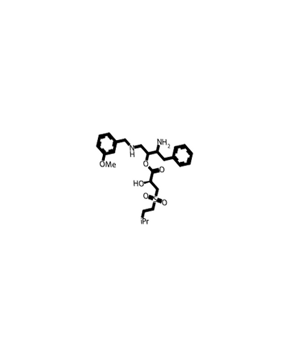 COc1cccc(CNCC(OC(=O)[C@H](O)CS(=O)(=O)CCC(C)C)C(N)Cc2ccccc2)c1